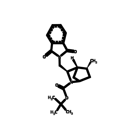 C[C@@H]1CC2C[C@@H]1[C@H](CN1C(=O)c3ccccc3C1=O)N2C(=O)OC(C)(C)C